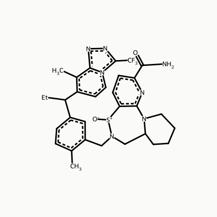 CCC(c1ccc(C)c(CN2CC3CCCCN3c3nc(C(N)=O)ccc3[S+]2[O-])c1)c1ccn2c(C(F)(F)F)nnc2c1C